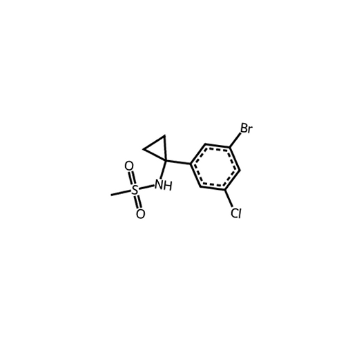 CS(=O)(=O)NC1(c2cc(Cl)cc(Br)c2)CC1